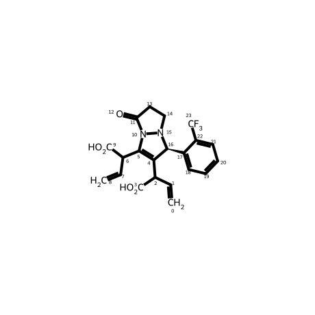 C=CC(C(=O)O)C1=C(C(C=C)C(=O)O)N2C(=O)CCN2[C@H]1c1ccccc1C(F)(F)F